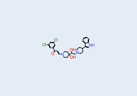 O=C(C=CN1CCC(O)(C(O)CN2CCC(c3c[nH]c4ccccc34)CC2)CC1)c1cc(Cl)cc(Cl)c1